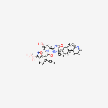 BBc1cc(C(C(=O)N2C[C@H](O)CC2C2=NC(=O)[C@](C)(c3ccc(-c4cccnc4C)cc3)N2)C(C)C)on1